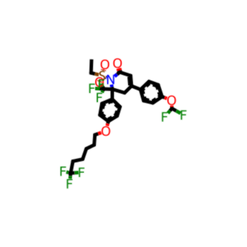 CCS(=O)(=O)N1C(=O)C=C(c2ccc(OC(F)F)cc2)CC1(c1ccc(OCCCCCC(F)(F)F)cc1)C(F)(F)F